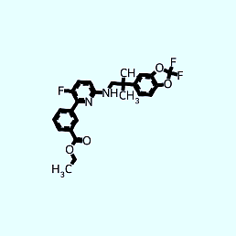 CCOC(=O)c1cccc(-c2nc(NCC(C)(C)c3ccc4c(c3)OC(F)(F)O4)ccc2F)c1